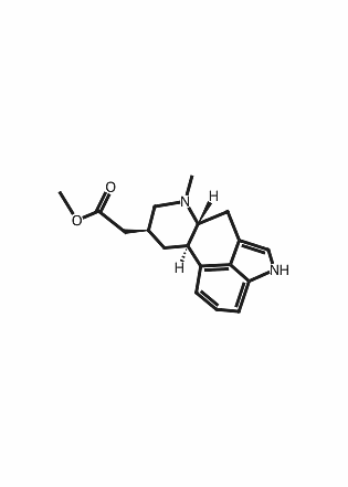 COC(=O)C[C@@H]1C[C@@H]2c3cccc4[nH]cc(c34)C[C@H]2N(C)C1